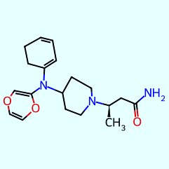 C[C@H](CC(N)=O)N1CCC(N(C2=CC=CCC2)C2=COC=CO2)CC1